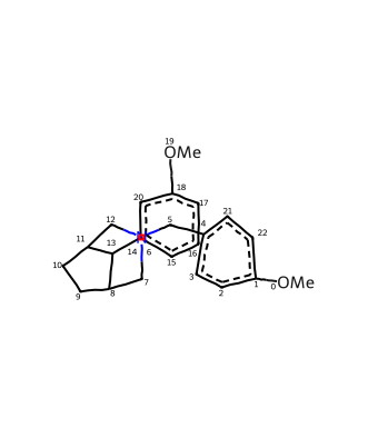 COc1ccc(CN2CC3CCC(C2)C3c2cccc(OC)c2)cc1